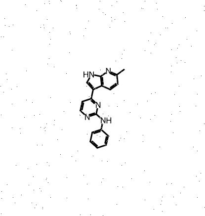 Cc1ccc2c(-c3ccnc(Nc4ccccc4)n3)c[nH]c2n1